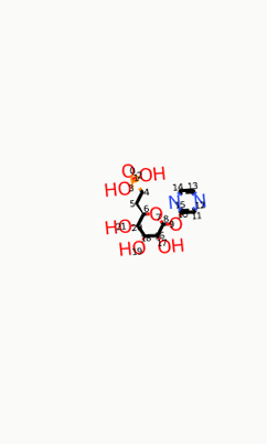 O=P(O)(O)CC[C@H]1OC(Oc2cnccn2)[C@@H](O)[C@@H](O)[C@@H]1O